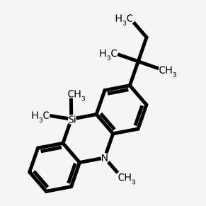 CCC(C)(C)c1ccc2c(c1)[Si](C)(C)c1ccccc1N2C